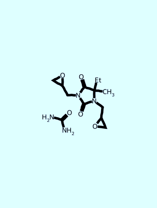 CCC1(C)C(=O)N(CC2CO2)C(=O)N1CC1CO1.NC(N)=O